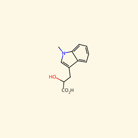 Cn1cc(CC(O)C(=O)O)c2ccccc21